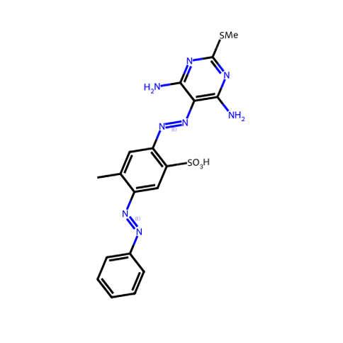 CSc1nc(N)c(/N=N/c2cc(C)c(/N=N/c3ccccc3)cc2S(=O)(=O)O)c(N)n1